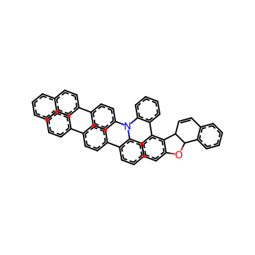 C1=CC2c3c(cccc3-c3ccccc3N(c3ccc(-c4ccc5ccccc5c4)cc3)c3ccccc3-c3ccc(-c4ccccc4)cc3)OC2c2ccccc21